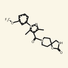 Cc1nn(-c2cccc(OC(F)(F)F)c2)c(C)c1C(=O)N1CCC2(CC1)CNC(=O)O2